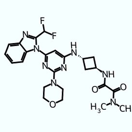 CN(C)C(=O)C(=O)N[C@H]1C[C@H](Nc2cc(-n3c(C(F)F)nc4ccccc43)nc(N3CCOCC3)n2)C1